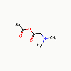 CN(C)CC(=O)OC(=O)C(C)(C)C